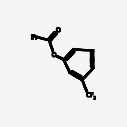 CC(C)C(=O)Oc1cccc(C(F)(F)F)c1